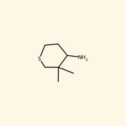 CC1(C)CSCCC1N